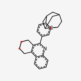 c1ccc2c3c(c(-c4ccc5c(c4)C4CC6CC(CC5C6)C4)nc2c1)C1CCC3CC1